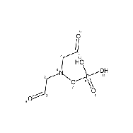 O=CCN(CC=O)OP(=O)(O)O